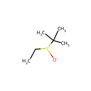 [CH2]C[S+]([O-])C(C)(C)C